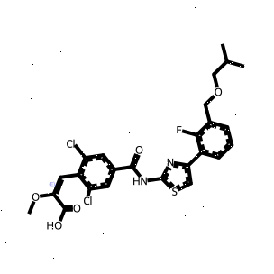 CO/C(=C/c1c(Cl)cc(C(=O)Nc2nc(-c3cccc(COCC(C)C)c3F)cs2)cc1Cl)C(=O)O